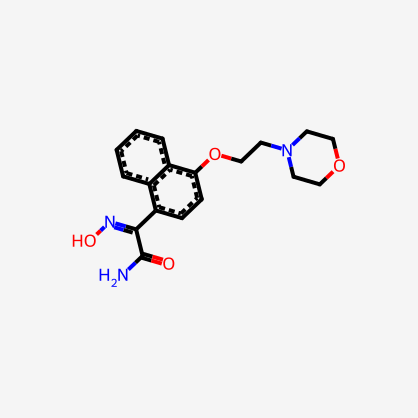 NC(=O)C(=NO)c1ccc(OCCN2CCOCC2)c2ccccc12